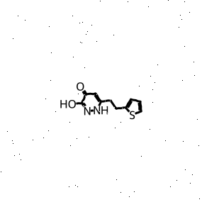 O=c1cc(CCc2cccs2)[nH]nc1O